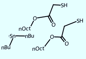 CCCCCCCCOC(=O)CS.CCCCCCCCOC(=O)CS.CCC[CH2][Sn][CH2]CCC